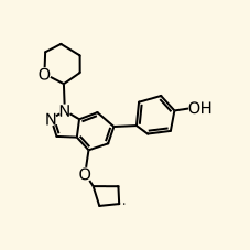 Oc1ccc(-c2cc(OC3C[CH]C3)c3cnn(C4CCCCO4)c3c2)cc1